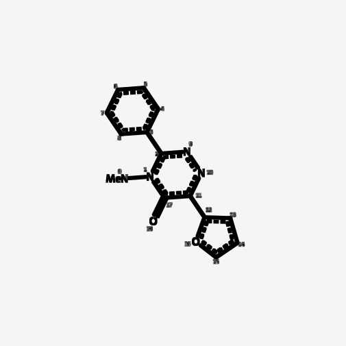 CNn1c(-c2ccccc2)nnc(-c2ccco2)c1=O